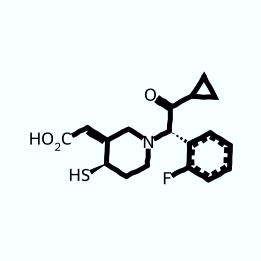 O=C(O)/C=C1/CN([C@H](C(=O)C2CC2)c2ccccc2F)CC[C@H]1S